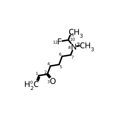 C=CC(=O)CCCCN(C)C(C)F